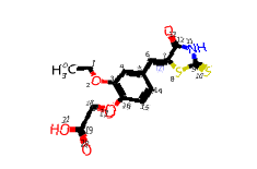 CCOc1cc(/C=C2\SC(=S)NC2=O)ccc1OCC(=O)O